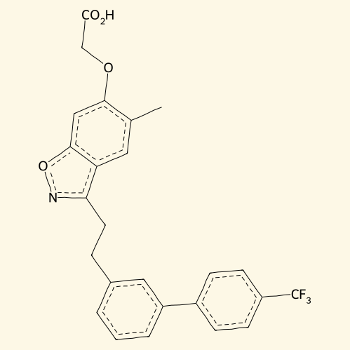 Cc1cc2c(CCc3cccc(-c4ccc(C(F)(F)F)cc4)c3)noc2cc1OCC(=O)O